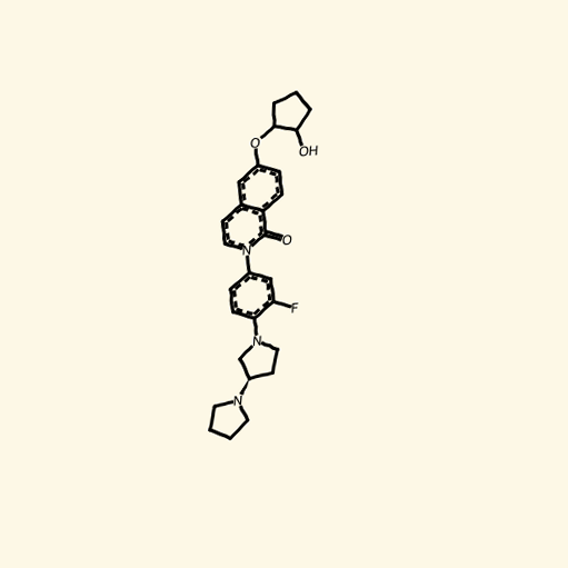 O=c1c2ccc(OC3CCCC3O)cc2ccn1-c1ccc(N2CC[C@@H](N3CCCC3)C2)c(F)c1